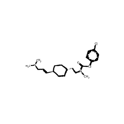 CN(C)CC=C[C@H]1CC[C@H](CCN(C)C(=O)Oc2ccc(Cl)cc2)CC1